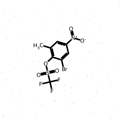 Cc1cc([N+](=O)[O-])cc(Br)c1OS(=O)(=O)C(F)(F)F